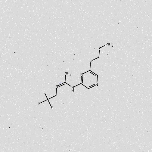 NCCSc1cncc(N/C(N)=N\CC(F)(F)F)n1